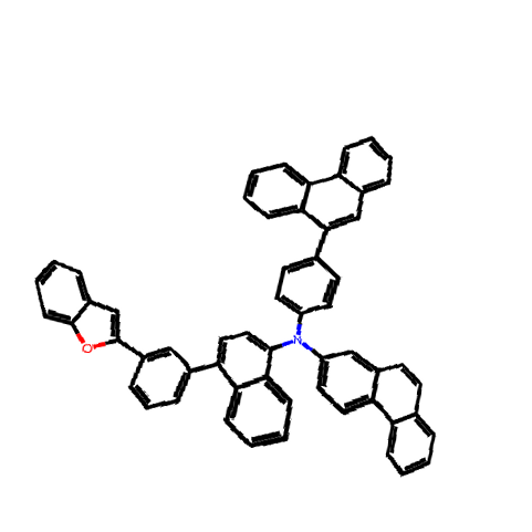 c1cc(-c2cc3ccccc3o2)cc(-c2ccc(N(c3ccc(-c4cc5ccccc5c5ccccc45)cc3)c3ccc4c(ccc5ccccc54)c3)c3ccccc23)c1